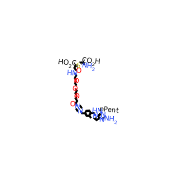 CCCCCNc1nc(N)nc2ccn(Cc3ccc(CN4CCN(C(=O)CCOCCOCCOCCNC(=O)C[C@H](SC[C@H](N)C(=O)O)C(=O)O)CC4)cc3C)c12